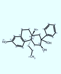 CCC[C@@]12C[C@H](O)C(O)(c3ccccc3)C[C@H]1CCc1cc(O)ccc12